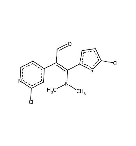 CN(C)C(=C(C=O)c1ccnc(Cl)c1)c1ccc(Cl)s1